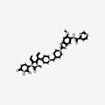 C=C/C(=c1\c(=C/C)n(C2CCC(=O)NC2=O)c(=O)n1C)C1CCN(CC2CCN(c3nc4cc(OC)c(NC(=O)c5ccncn5)cc4s3)CC2)CC1